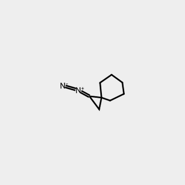 [N-]=[N+]=C1CC12CCCCC2